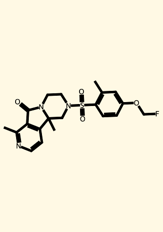 Cc1cc(OCF)ccc1S(=O)(=O)N1CCN2C(=O)c3c(ccnc3C)C2(C)C1